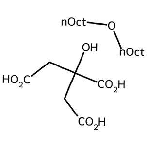 CCCCCCCCOCCCCCCCC.O=C(O)CC(O)(CC(=O)O)C(=O)O